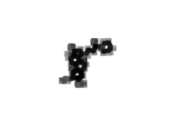 CCCc1cc2c(cc1O)CC[C@H]1[C@@H]3[C@H](CCCC(=O)N4CCCCC4)CC(=O)[C@@]3(C)CC[C@H]21